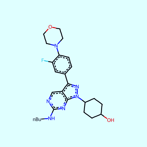 CCCCNc1ncc2c(-c3ccc(N4CCOCC4)c(F)c3)nn(C3CCC(O)CC3)c2n1